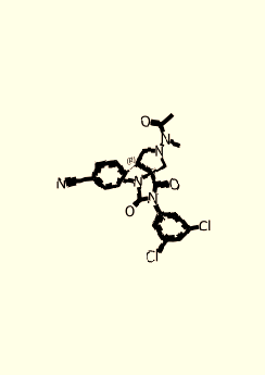 CC(=O)N(C)N1C[C@@H](c2ccc(C#N)cc2)[C@]2(C1)C(=O)N(c1cc(Cl)cc(Cl)c1)C(=O)N2C